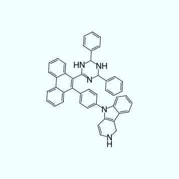 C1=Cc2c(c3ccccc3n2-c2ccc(-c3c(C4=NC(c5ccccc5)NC(c5ccccc5)N4)c4ccccc4c4ccccc34)cc2)CN1